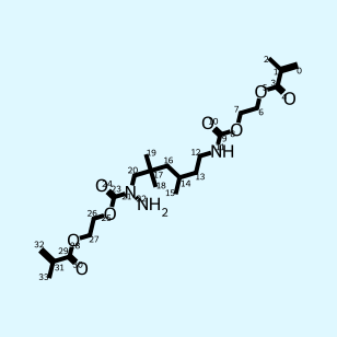 C=C(C)C(=O)OCCOC(=O)NCCC(C)CC(C)(C)CN(N)C(=O)OCCOC(=O)C(=C)C